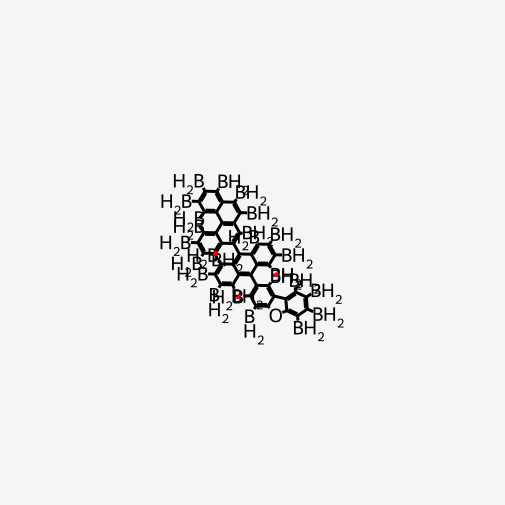 Bc1c(B)c(B)c2c(oc3c(B)c(B)c(-c4c5c(B)c(B)c(B)c(B)c5c(-c5c(B)c6c(B)c(B)c7c(B)c(B)c(B)c(B)c7c6c6c(B)c(B)c(B)c(B)c56)c5c(B)c(B)c(B)c(B)c45)c(B)c32)c1B